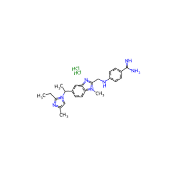 CCc1nc(C)cn1C(C)c1ccc2c(c1)nc(CNc1ccc(C(=N)N)cc1)n2C.Cl.Cl